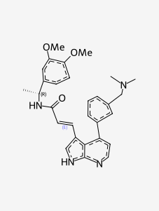 COc1ccc([C@@H](C)NC(=O)/C=C/c2c[nH]c3nccc(-c4cccc(CN(C)C)c4)c23)cc1OC